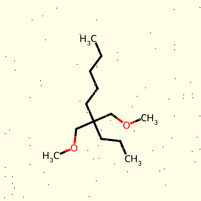 CCCCCC(CCC)(COC)COC